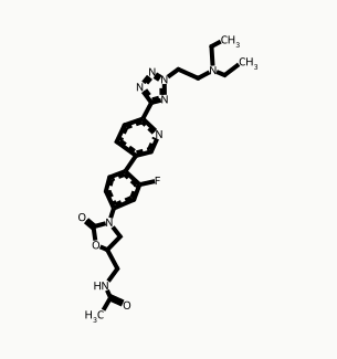 CCN(CC)CCn1nnc(-c2ccc(-c3ccc(N4CC(CNC(C)=O)OC4=O)cc3F)cn2)n1